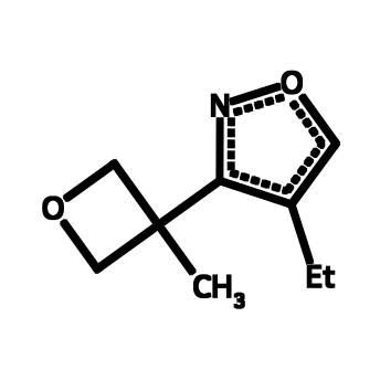 CCc1conc1C1(C)COC1